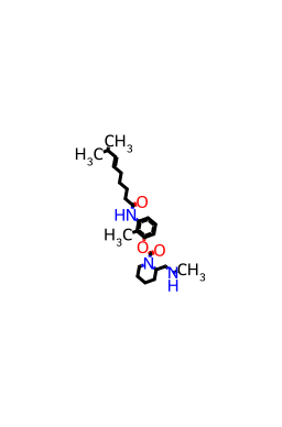 CNCC1CCCCN1C(=O)Oc1cccc(NC(=O)CCCCC=CC(C)C)c1C